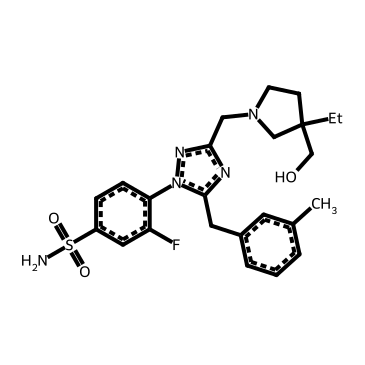 CCC1(CO)CCN(Cc2nc(Cc3cccc(C)c3)n(-c3ccc(S(N)(=O)=O)cc3F)n2)C1